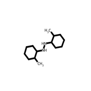 CC1CCCCC1NNC1CCCCC1C